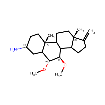 C=C1CCC2C3C(CC[C@]12C)[C@@]1(C)CC[C@@H](N)CC1[C@@H](OC)[C@@H]3OC